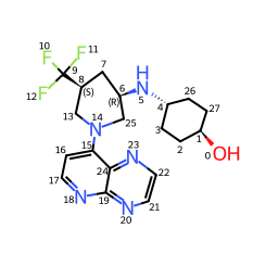 O[C@H]1CC[C@H](N[C@@H]2C[C@H](C(F)(F)F)CN(c3ccnc4nccnc34)C2)CC1